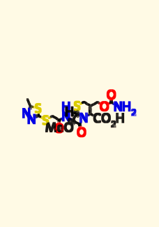 CO[C@@]1(NC(=O)CSc2nnc(C)s2)C(=O)N2C(C(=O)O)=C(COC(N)=O)CS[C@H]21